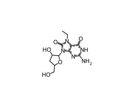 CCn1c(=O)n(C2OC(CO)CC2O)c2nc(N)[nH]c(=O)c21